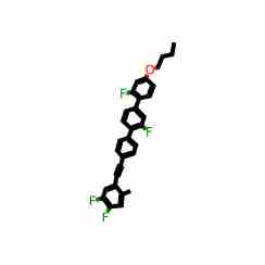 CCCCOc1ccc(-c2ccc(-c3ccc(C#Cc4cc(F)c(F)cc4C)cc3)c(F)c2)c(F)c1